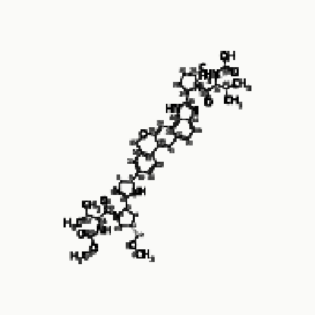 COC[C@H]1CC(c2ncc(-c3ccc4c(c3)COc3cc5c(ccc6nc(C7CC[C@H](C)N7C(=O)[C@@H](NC(=O)O)C(C)C)[nH]c65)cc3-4)[nH]2)N(C(=O)C(NC(=O)OC)C(C)C)C1